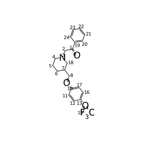 O=C(CN1CCCC(COc2ccc(OC(F)(F)F)cc2)C1)c1ccccc1